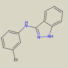 CCc1cccc(Nc2n[nH]c3ccccc23)c1